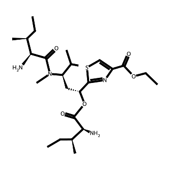 CCOC(=O)c1csc([C@@H](C[C@H](C(C)C)N(C)C(=O)[C@@H](N)[C@@H](C)CC)OC(=O)[C@@H](N)[C@@H](C)CC)n1